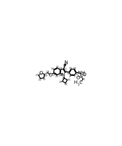 CCS(=O)(=O)Nc1ccc(-c2c(C#N)c3ccc(OC[C@H]4CCCO4)cc3n2C2CCC2)cc1